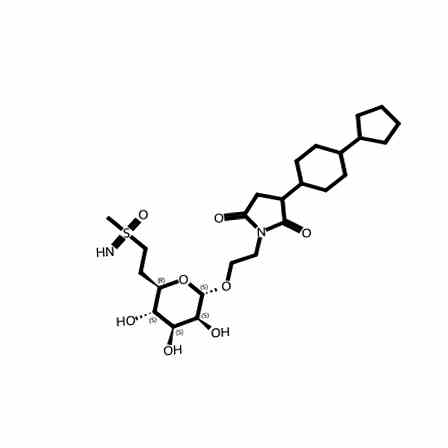 CS(=N)(=O)CC[C@H]1O[C@H](OCCN2C(=O)CC(C3CCC(C4CCCC4)CC3)C2=O)[C@@H](O)[C@@H](O)[C@@H]1O